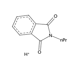 [CH2]CCN1C(=O)c2ccccc2C1=O.[H+]